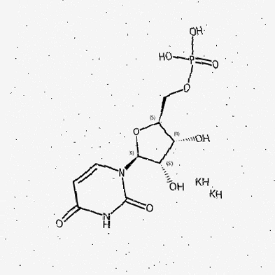 O=c1ccn([C@H]2O[C@@H](COP(=O)(O)O)[C@H](O)[C@@H]2O)c(=O)[nH]1.[KH].[KH]